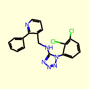 Clc1cccc(-n2nnnc2NCc2cccnc2-c2ccccc2)c1Cl